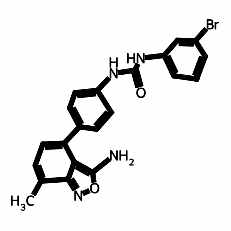 Cc1ccc(-c2ccc(NC(=O)Nc3cccc(Br)c3)cc2)c2c(N)onc12